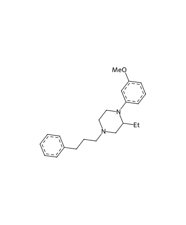 CCC1CN(CCCc2ccccc2)CCN1c1cccc(OC)c1